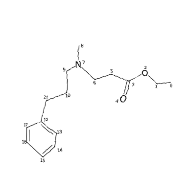 CCOC(=O)CCN(C)CCCc1ccccc1